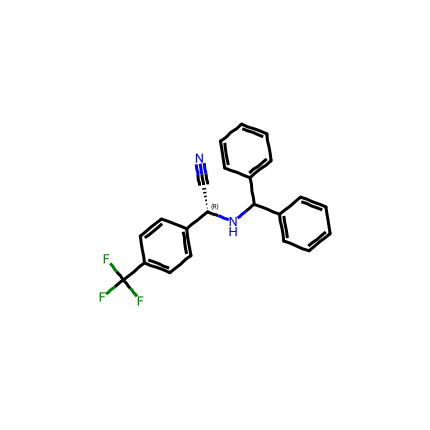 N#C[C@H](NC(c1ccccc1)c1ccccc1)c1ccc(C(F)(F)F)cc1